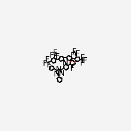 Fc1ccccc1-c1ccc(-c2nc(-c3ccccc3)nc(-c3ccccc3)n2)cc1-n1c2cc(-c3ccc(C(F)(F)F)cc3C(F)(F)F)ccc2c2ccc(-c3ccc(C(F)(F)F)cc3C(F)(F)F)cc21